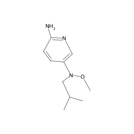 CON(CC(C)C)c1ccc(N)nc1